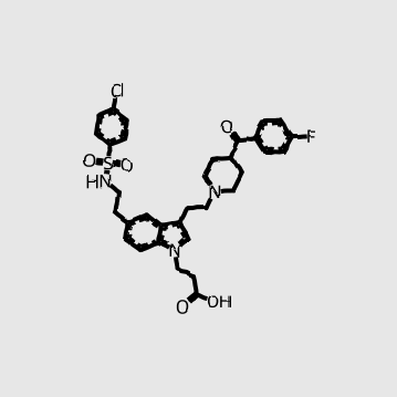 O=C(O)CCn1cc(CCN2CCC(C(=O)c3ccc(F)cc3)CC2)c2cc(CCNS(=O)(=O)c3ccc(Cl)cc3)ccc21